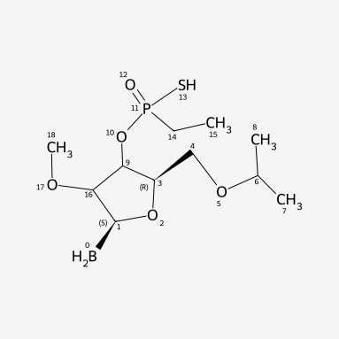 B[C@@H]1O[C@H](COC(C)C)C(OP(=O)(S)CC)C1OC